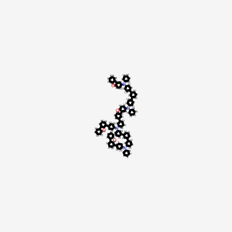 c1ccc(N(c2ccc(-c3cccc4c3oc3ccccc34)cc2)c2cccc(-c3cccc(-c4cccc(N(c5ccc(-c6cccc7c6oc6ccccc67)cc5)c5cccc(-c6ccc7oc8ccc(N(c9ccccc9)c9ccc(-c%10cccc(-c%11ccc(N(c%12ccccc%12)c%12ccc%13oc%14ccccc%14c%13c%12)cc%11)c%10)cc9)cc8c7c6)c5)c4)c3)c2)cc1